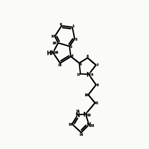 c1ccc2c(C3CCN(CCCn4nccn4)C3)c[nH]c2c1